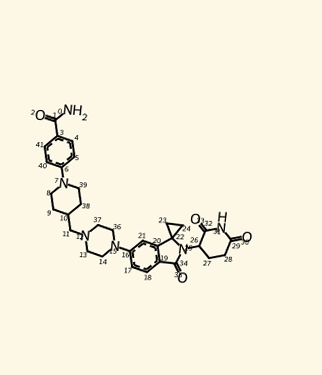 NC(=O)c1ccc(N2CCC(CN3CCN(c4ccc5c(c4)C4(CC4)N(C4CCC(=O)NC4=O)C5=O)CC3)CC2)cc1